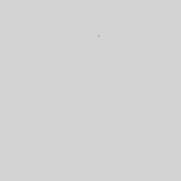 CC(=O)OCCOC(=O)OCCO